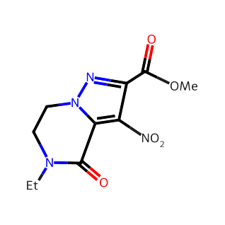 CCN1CCn2nc(C(=O)OC)c([N+](=O)[O-])c2C1=O